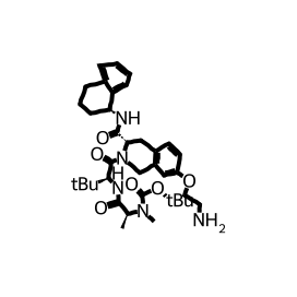 C[C@@H](C(=O)N[C@H](C(=O)N1Cc2cc(OCCN)ccc2C[C@H]1C(=O)N[C@@H]1CCCc2ccccc21)C(C)(C)C)N(C)C(=O)OC(C)(C)C